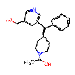 CB(O)N1CCC(=C(c2ccccc2)c2cncc(CO)c2)CC1